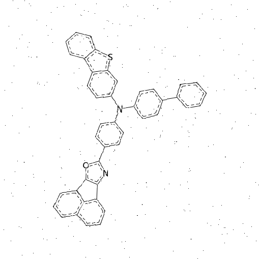 c1ccc(-c2ccc(N(c3ccc(-c4nc5c(o4)-c4cccc6cccc-5c46)cc3)c3ccc4c(c3)sc3ccccc34)cc2)cc1